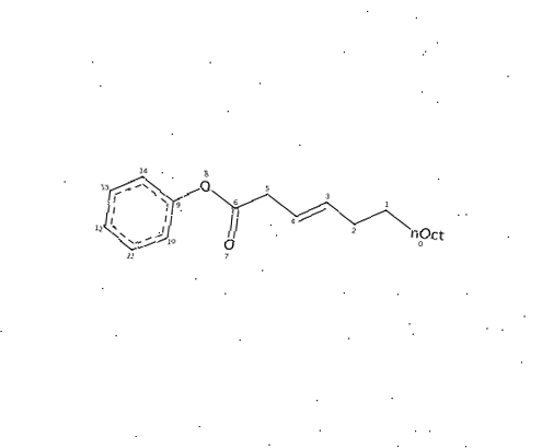 CCCCCCCCCC/C=C/CC(=O)Oc1ccccc1